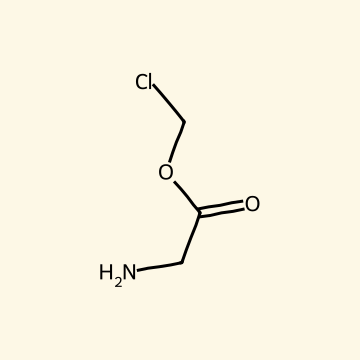 NCC(=O)OCCl